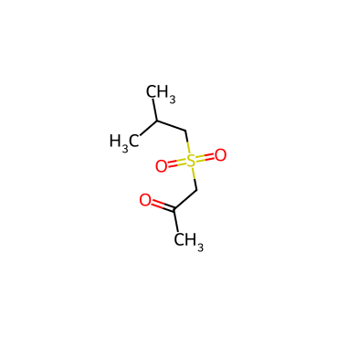 CC(=O)CS(=O)(=O)CC(C)C